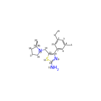 CCc1cc(C)cc(-c2nc(N)sc2CN2CCC[C@H]2C)c1